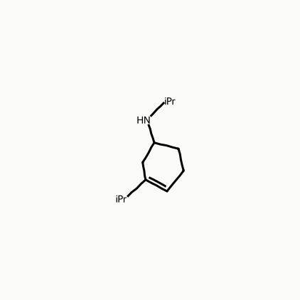 CC(C)NC1CCC=C(C(C)C)C1